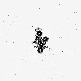 CC(C)CN(CC[C@](O)(Cc1ccccc1)C(C)(CC(N)=O)S(=O)(=O)N1CCCC1)S(=O)(=O)c1ccc2c(c1)OCO2